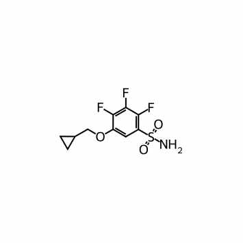 NS(=O)(=O)c1cc(OCC2CC2)c(F)c(F)c1F